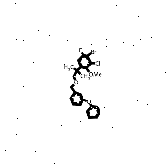 COc1c(C(C)(C)COCc2cccc(Oc3ccccc3)c2)cc(F)c(Br)c1Cl